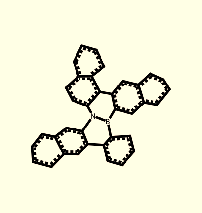 c1ccc2c(c1)B1c3cc4ccccc4cc3-c3c(ccc4ccccc34)N1c1cc3ccccc3cc1-2